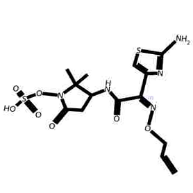 C=CCO/N=C(\C(=O)NC1CC(=O)N(OS(=O)(=O)O)C1(C)C)c1csc(N)n1